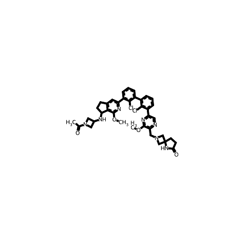 COc1nc(-c2cccc(-c3cccc(-c4cc5c(c(OC)n4)C(NC4CN(C(C)=O)C4)CC5)c3Cl)c2Cl)cnc1CN1CC2(CCC(=O)N2)C1